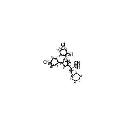 N#CNC(=NC1CCCCC1)c1cc(-c2ccc(Cl)cc2)n(-c2ccc(Cl)cc2Cl)n1